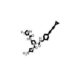 NC1CN(C(=O)N2C[C@H](NC(=O)[C@@H]3C[C@H](F)CN3)C[C@@H]2C(=O)NCc2ccc(C#CC#CC3CC3)cc2)C1